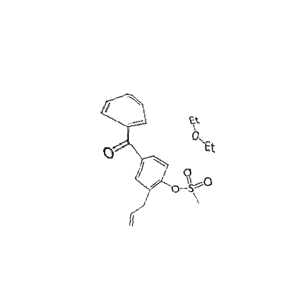 C=CCc1cc(C(=O)c2ccccc2)ccc1OS(C)(=O)=O.CCOCC